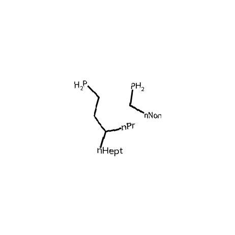 CCCCCCCC(CCC)CCP.CCCCCCCCCCP